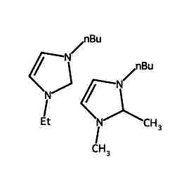 CCCCN1C=CN(C)C1C.CCCCN1C=CN(CC)C1